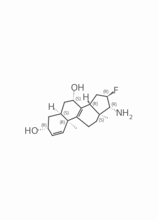 C[C@]12CCC3=C([C@@H](O)C[C@@H]4C[C@@H](O)C=C[C@]34C)[C@@H]1C[C@@H](F)[C@@H]2N